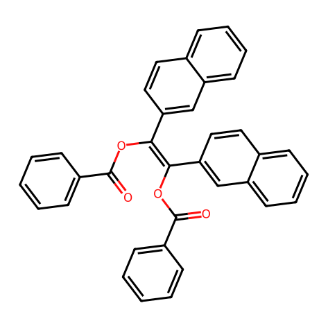 O=C(OC(=C(OC(=O)c1ccccc1)c1ccc2ccccc2c1)c1ccc2ccccc2c1)c1ccccc1